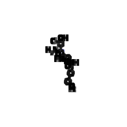 CCOc1cccc(-c2ccc(CC(=O)Nc3ccc4c(/C=C(\C(N)=O)c5ccc(O)c(Cl)c5)c[nH]c4n3)cc2)c1